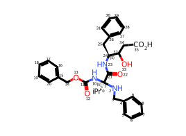 CC(C)[C@](NCc1ccccc1)(NC(=O)OCc1ccccc1)C(=O)N[C@@H](Cc1ccccc1)C(O)CC(=O)O